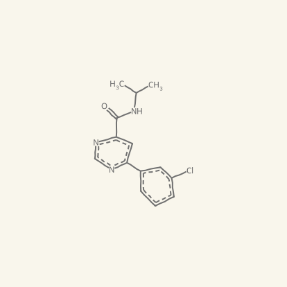 CC(C)NC(=O)c1cc(-c2cccc(Cl)c2)ncn1